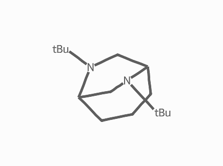 CC(C)(C)N1CC2CCCC1CN2C(C)(C)C